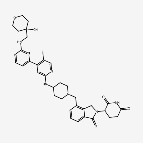 N#CC1(CNc2cccc(-c3cc(NC4CCN(Cc5cccc6c5CN(N5CCC(=O)NC5=O)C6=O)CC4)ncc3Cl)n2)CCOCC1